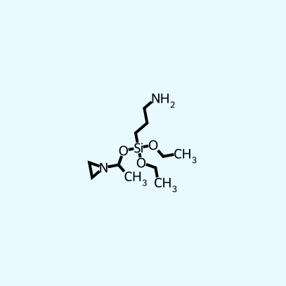 CCO[Si](CCCN)(OCC)OC(C)N1CC1